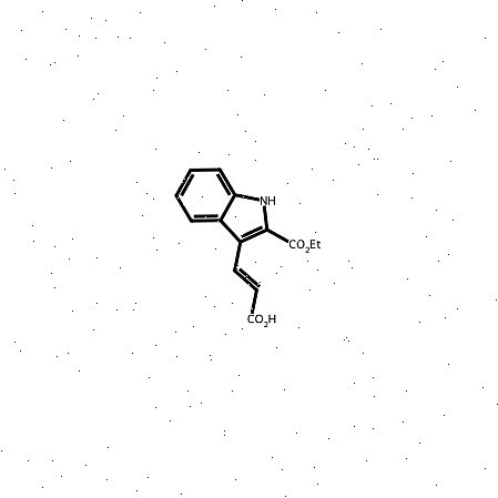 CCOC(=O)c1[nH]c2ccccc2c1/C=C/C(=O)O